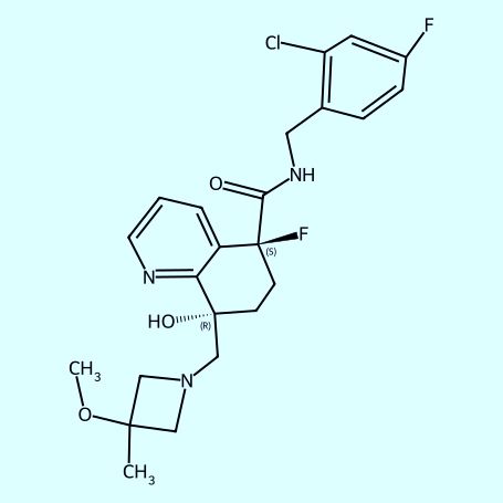 COC1(C)CN(C[C@]2(O)CC[C@@](F)(C(=O)NCc3ccc(F)cc3Cl)c3cccnc32)C1